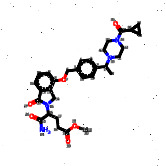 CC(c1ccc(COc2cccc3c2CN(C(CCC(=O)OC(C)(C)C)C(N)=O)C3=O)cc1)N1CCN(C(=O)C2CC2)CC1